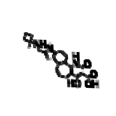 Cn1c(CNC2(C)CCC2)cc2c3c(ccc21)-c1[nH]c(=O)c(C(=O)O)c(O)c1CC=C3